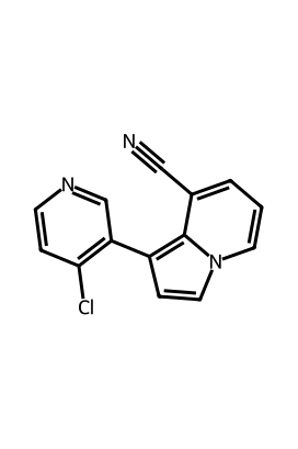 N#Cc1cccn2ccc(-c3cnccc3Cl)c12